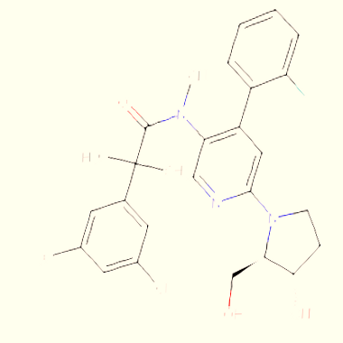 CN(C(=O)C(C)(C)c1cc(C(F)(F)F)cc(C(F)(F)F)c1)c1cnc(N2CC[C@H](O)[C@H]2CO)cc1-c1ccccc1F